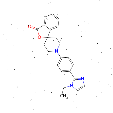 CCn1ccnc1-c1ccc(N2CCC3(CC2)OC(=O)c2ccccc23)cc1